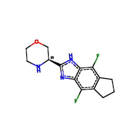 Fc1c2c(c(F)c3[nH]c([C@@H]4COCCN4)nc13)CCC2